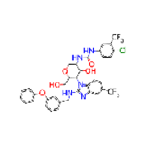 O=C(Nc1ccc(Cl)c(C(F)(F)F)c1)NC1COC(CO)C(n2c(NCc3cccc(Oc4ccccc4)c3)nc3cc(C(F)(F)F)ccc32)C1O